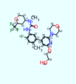 Cc1cc(F)c(NC(=O)N(C)C2CCOC(C(F)(F)F)C2)cc1-c1cc(OCCO)nc(N2CCOCC2)c1